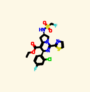 CCOC(=O)C1=C2C[C@H](NS(=O)(=O)CF)CN2C(c2nccs2)=N[C@H]1c1ccc(F)cc1Cl